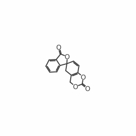 O=C1OCC2=C(C=CC3(C2)OC(=O)c2ccccc23)O1